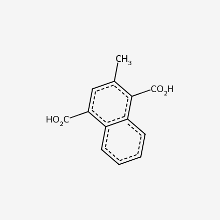 Cc1cc(C(=O)O)c2ccccc2c1C(=O)O